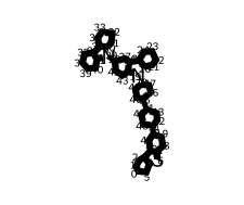 c1ccc2c(c1)sc1ccc(-c3ccc(-c4ccc(-n5c6ccccc6c6cc(-n7c8ccccc8c8ccccc87)ccc65)cc4)cc3)cc12